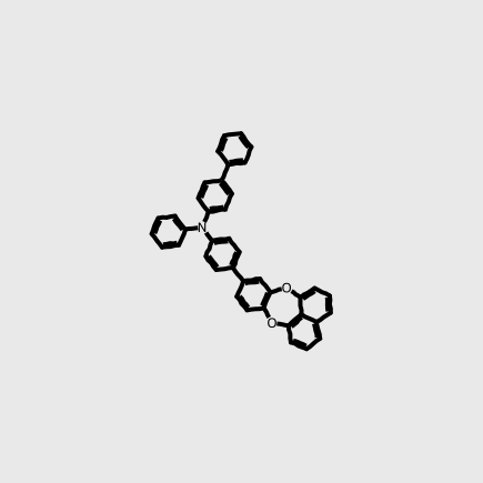 c1ccc(-c2ccc(N(c3ccccc3)c3ccc(-c4ccc5c(c4)Oc4cccc6cccc(c46)O5)cc3)cc2)cc1